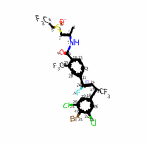 CC(C[S+]([O-])CC(F)(F)F)NC(=O)c1ccc(/C(F)=C/C(c2cc(Cl)c(Br)c(Cl)c2)C(F)(F)F)cc1C(F)(F)F